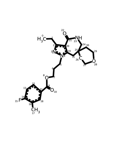 CCc1nn(CCCOC(=O)c2ccc(F)c(C)c2)c2c1C(=O)NCC1(CCOCC1)C2